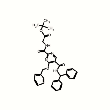 CC(C)(C)OC(=O)CNC(=O)c1ncc(C(=O)NC(c2ccccc2)c2ccccc2)c(OCc2ccccc2)n1